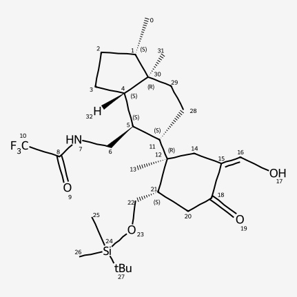 C[C@H]1CC[C@H]2[C@H](CNC(=O)C(F)(F)F)[C@@H]([C@@]3(C)CC(=CO)C(=O)C[C@@H]3CO[Si](C)(C)C(C)(C)C)CC[C@]12C